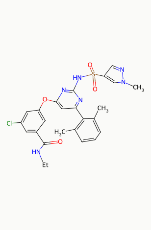 CCNC(=O)c1cc(Cl)cc(Oc2cc(-c3c(C)cccc3C)nc(NS(=O)(=O)c3cnn(C)c3)n2)c1